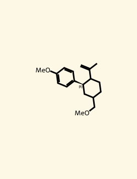 C=C(C)C1CCC(COC)C[C@H]1c1ccc(OC)cc1